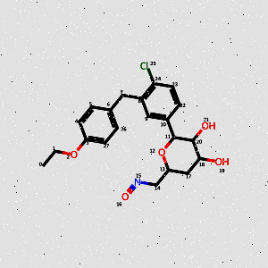 CCOc1ccc(Cc2cc(C3OC(CN=O)CC(O)C3O)ccc2Cl)cc1